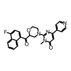 Cn1c(N2CCOC(C(=O)c3ccc(F)c4ccccc34)C2)nc(-c2ccncc2)cc1=O